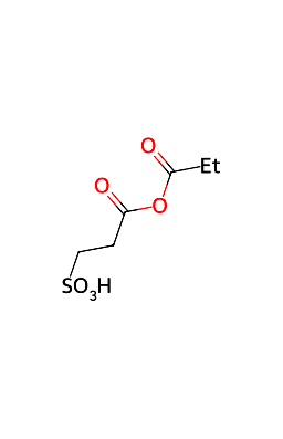 CCC(=O)OC(=O)CCS(=O)(=O)O